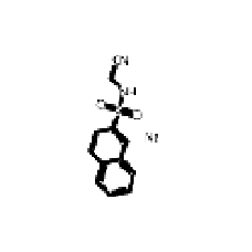 N#CCNS(=O)(=O)c1ccc2ccccc2c1.[Na]